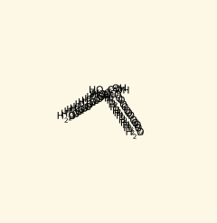 O.O.O.O.O.O.O.O.O.O.O.O.O.O.O.O.O.O.O.O.O.O.O.O.O.O.O=C(O)O.O=C(O)O